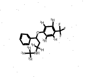 [2H]c1c([2H])c(C(F)(F)F)c([2H])c([2H])c1OC(CC([2H])([2H])NC([2H])([2H])[2H])c1ccccc1